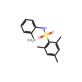 Cc1cc(C)c(S(=O)(=O)Nc2ccccc2C(=O)O)c(C)c1